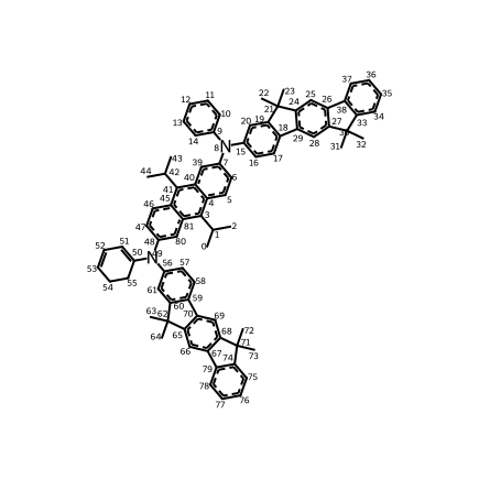 CC(C)c1c2ccc(N(c3ccccc3)c3ccc4c(c3)C(C)(C)c3cc5c(cc3-4)C(C)(C)c3ccccc3-5)cc2c(C(C)C)c2ccc(N(C3=CC=CCC3)c3ccc4c(c3)C(C)(C)c3cc5c(cc3-4)C(C)(C)c3ccccc3-5)cc12